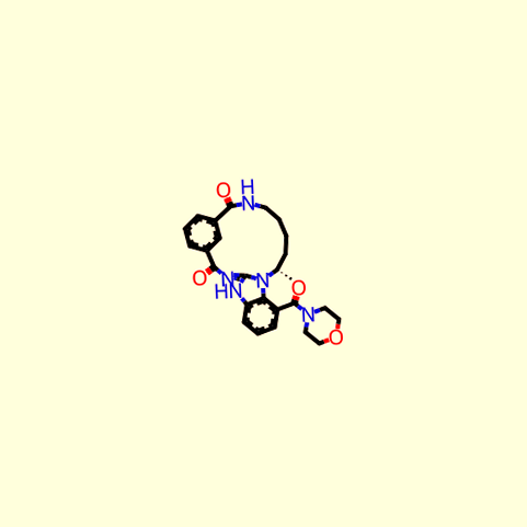 C[C@H]1CCCCNC(=O)c2cccc(c2)C(=O)/N=C2\Nc3cccc(C(=O)N4CCOCC4)c3N21